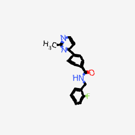 Cc1nccc(-c2ccc(C(=O)NCc3ccccc3F)cc2)n1